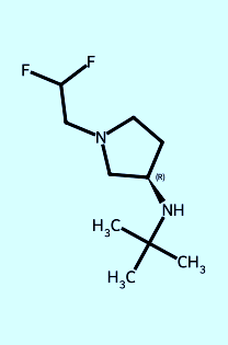 CC(C)(C)N[C@@H]1CCN(CC(F)F)C1